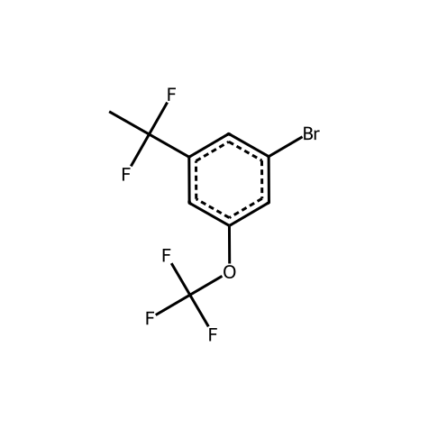 CC(F)(F)c1cc(Br)cc(OC(F)(F)F)c1